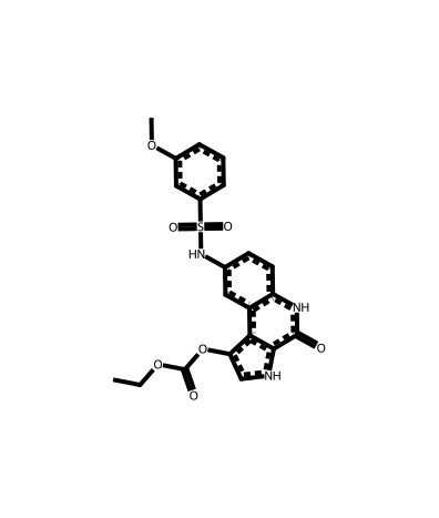 CCOC(=O)Oc1c[nH]c2c(=O)[nH]c3ccc(NS(=O)(=O)c4cccc(OC)c4)cc3c12